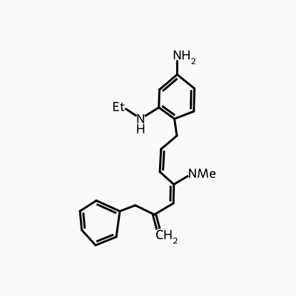 C=C(/C=C(\C=C/Cc1ccc(N)cc1NCC)NC)Cc1ccccc1